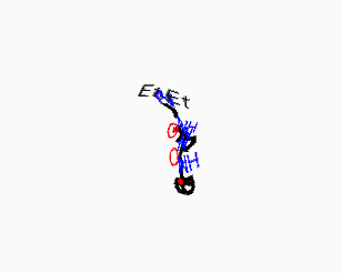 CCN(CC)CCCNC(=O)c1cn2c(C(=O)NCC34CC5CC(CC(C5)C3)C4)cccc2n1